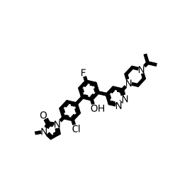 CC(C)N1CCN(c2cc(-c3cc(F)cc(-c4ccc(-n5ccn(C)c5=O)c(Cl)c4)c3O)cnn2)CC1